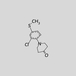 CSc1ccc(N2CCC(=O)CC2)c(Cl)c1